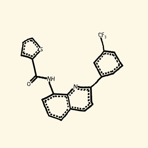 O=C(Nc1cccc2ccc(-c3cccc(C(F)(F)F)c3)nc12)c1cccs1